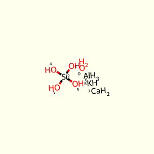 O.O[Si](O)(O)O.[AlH3].[CaH2].[KH]